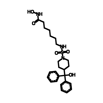 O=C(CCCCCCNS(=O)(=O)N1CCC(C(O)(c2ccccc2)c2ccccc2)CC1)NO